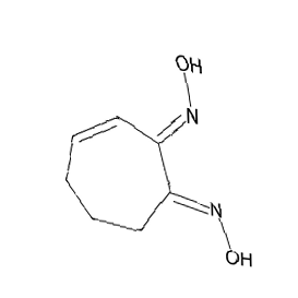 ON=C1C=CCCCC1=NO